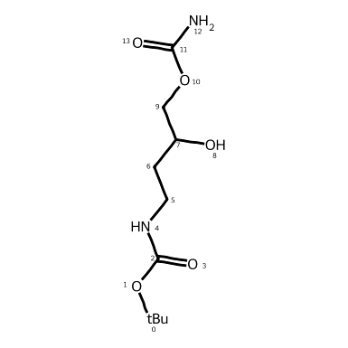 CC(C)(C)OC(=O)NCCC(O)COC(N)=O